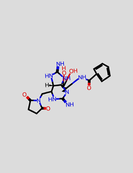 N=C1N[C@H]2C(CN3C(=O)CCC3=O)NC(=N)N3CC(NC(=O)c4ccccc4)C(O)(O)[C@]23N1